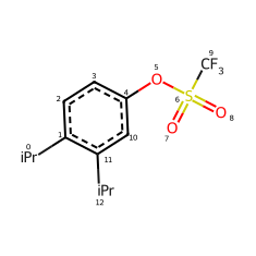 CC(C)c1ccc(OS(=O)(=O)C(F)(F)F)cc1C(C)C